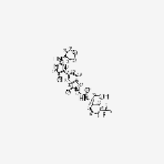 CC(F)(F)c1cccc(C(CO)NC(=O)CN2Cc3ccc(-c4nc(NC5CCOCC5)ncc4Cl)cc3C2=O)c1